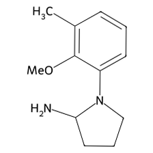 COc1c(C)cccc1N1CCCC1N